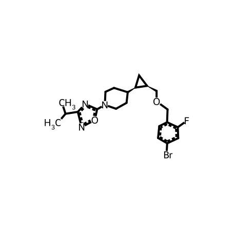 CC(C)c1noc(N2CCC([C@H]3C[C@H]3COCc3ccc(Br)cc3F)CC2)n1